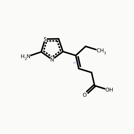 CC/C(=C\CC(=O)O)c1csc(N)n1